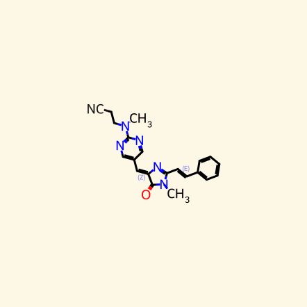 CN1C(=O)/C(=C/c2cnc(N(C)CCC#N)nc2)N=C1/C=C/c1ccccc1